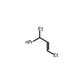 [CH2]CC=CC(CC)CCC